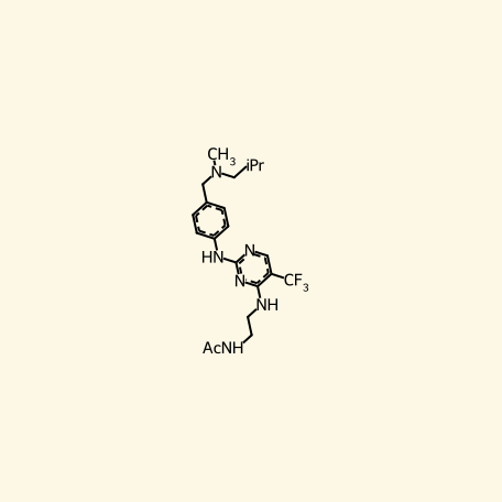 CC(=O)NCCNc1nc(Nc2ccc(CN(C)CC(C)C)cc2)ncc1C(F)(F)F